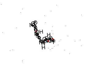 COC(=O)c1ccc(N2CCC(O)(CN3CCN(c4ccc(-c5cnc6[nH]cc(C(=O)c7c(F)ccc(NS(=O)(=O)N8CC[C@@H](F)C8)c7F)c6c5)cc4)CC3)CC2)cc1C#N